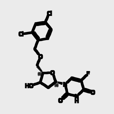 O=c1[nH]c(=O)n([C@@H]2CC(O)[C@H](COCc3ccc(Cl)cc3Cl)O2)cc1F